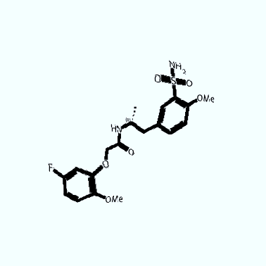 COc1ccc(F)cc1OCC(=O)N[C@H](C)Cc1ccc(OC)c(S(N)(=O)=O)c1